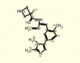 C=N/C(=C\c1cc(-c2cnc(C)n2C)ccc1C)NC(=O)C1(F)CNC1